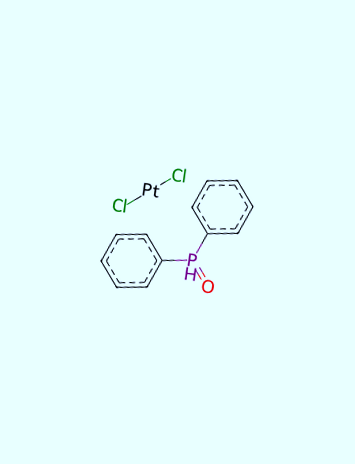 O=[PH](c1ccccc1)c1ccccc1.[Cl][Pt][Cl]